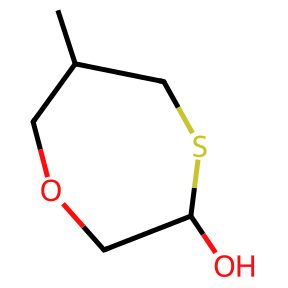 CC1COCC(O)SC1